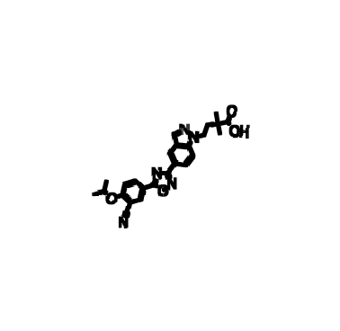 CC(C)Oc1ccc(-c2nc(-c3ccc4c(cnn4CCC(C)(C)C(=O)O)c3)no2)cc1C#N